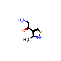 CC1NSC=C1C(=O)CN